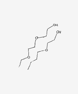 CCCCOCCO.CCOCCOCCO